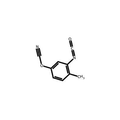 Cc1ccc(OC#N)cc1N=C=O